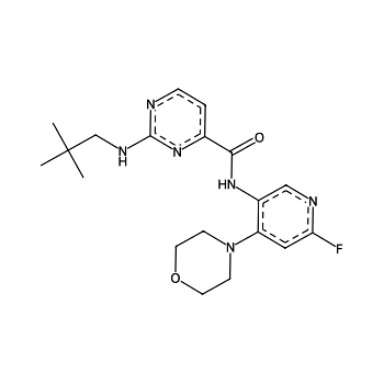 CC(C)(C)CNc1nccc(C(=O)Nc2cnc(F)cc2N2CCOCC2)n1